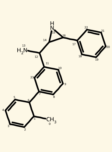 CC1C=CC=CC1c1cccc(C(N)C2NC2c2ccccc2)c1